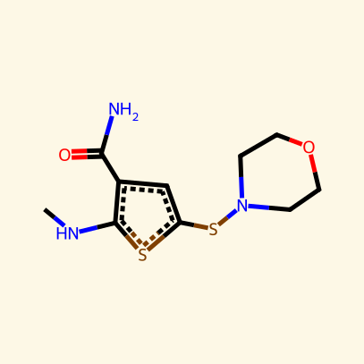 CNc1sc(SN2CCOCC2)cc1C(N)=O